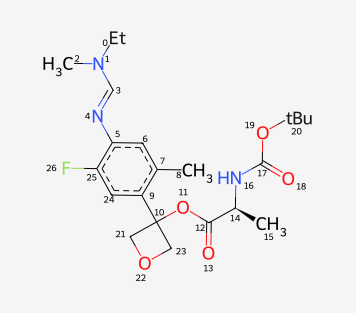 CCN(C)C=Nc1cc(C)c(C2(OC(=O)[C@H](C)NC(=O)OC(C)(C)C)COC2)cc1F